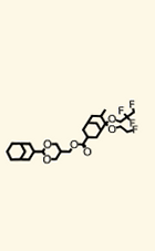 CC1CC2CC(C(=O)OCC3COC(C4CC5CCCC(C5)C4)OC3)CC(C2)C1(OCCF)OCC(F)(F)CF